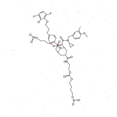 COc1ccc(CN(C(=O)C2=C(c3ccc(CCCOc4c(F)ccc(F)c4Cl)cc3)CC3CC(C(=O)NCCOC(=O)OCCCCO[N+](=O)[O-])CC2N3C(=O)OCCCCO[N+](=O)[O-])C2CC2)cc1C